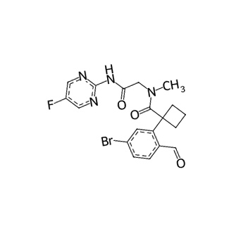 CN(CC(=O)Nc1ncc(F)cn1)C(=O)C1(c2cc(Br)ccc2C=O)CCC1